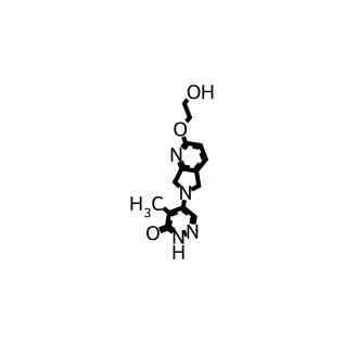 Cc1c(N2Cc3ccc(OCCO)nc3C2)cn[nH]c1=O